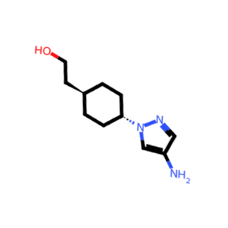 Nc1cnn([C@H]2CC[C@H](CCO)CC2)c1